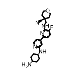 N#CC1(CNc2nc(-c3ccnc(N[C@H]4CC[C@H](N)CC4)c3)ccc2F)CCOCC1